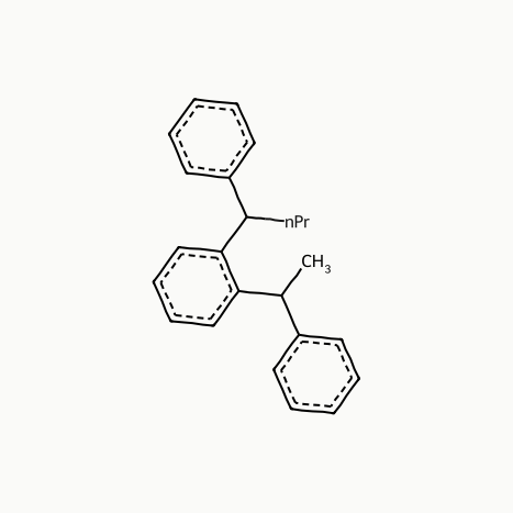 CCCC(c1ccccc1)c1ccccc1C(C)c1ccccc1